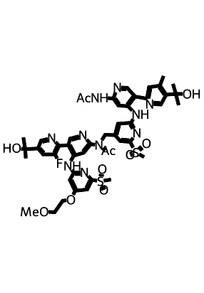 COCCOc1cc(Nc2cc(N(Cc3cc(Nc4cc(NC(C)=O)ncc4-c4cc(C)c(C(C)(C)O)cn4)nc(S(C)(=O)=O)c3)C(C)=O)ncc2-c2ncc(C(C)(C)O)cc2F)nc(S(C)(=O)=O)c1